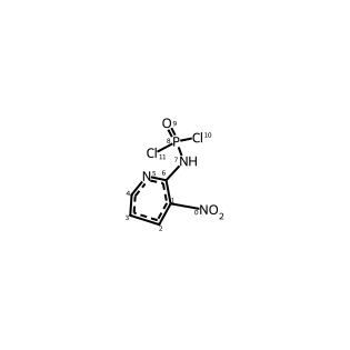 O=[N+]([O-])c1cccnc1NP(=O)(Cl)Cl